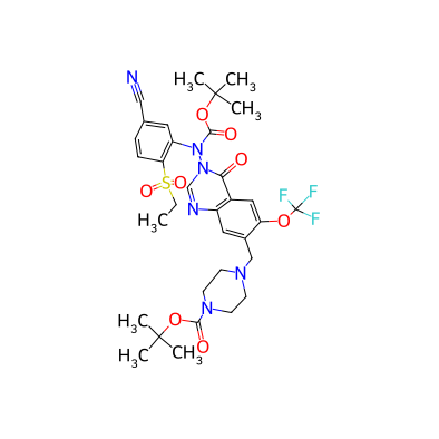 CCS(=O)(=O)c1ccc(C#N)cc1N(C(=O)OC(C)(C)C)n1cnc2cc(CN3CCN(C(=O)OC(C)(C)C)CC3)c(OC(F)(F)F)cc2c1=O